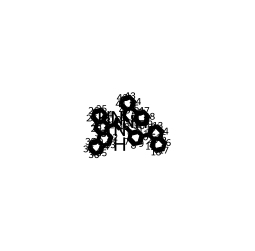 NC(NC(NCc1cccc(-c2cccc3ccccc23)c1)c1c2ccccc2cc2c1ccc1ccccc12)c1ccccc1-c1ccccc1